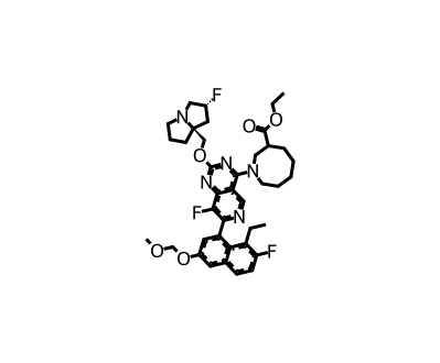 CCOC(=O)C1CCCCCN(c2nc(OC[C@@]34CCCN3C[C@H](F)C4)nc3c(F)c(-c4cc(OCOC)cc5ccc(F)c(CC)c45)ncc23)C1